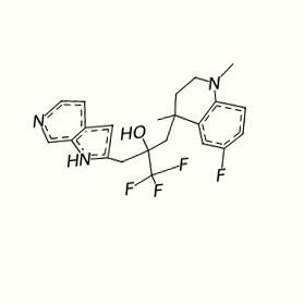 CN1CCC(C)(CC(O)(Cc2cc3ccncc3[nH]2)C(F)(F)F)c2cc(F)ccc21